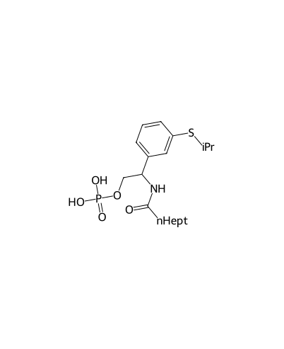 CCCCCCCC(=O)NC(COP(=O)(O)O)c1cccc(SC(C)C)c1